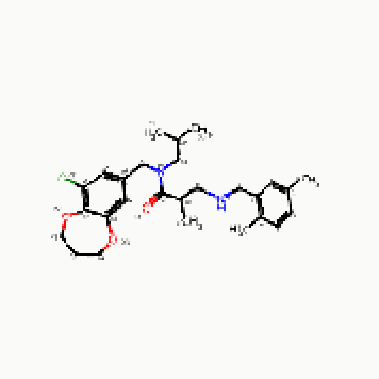 Cc1ccc(C)c(CNCC(C)C(=O)N(Cc2cc(Cl)c3c(c2)OCCCO3)CC(C)C)c1